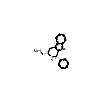 CNC[C@@H]1Cc2c([nH]c3ccccc23)[C@H](c2ccccc2)N1